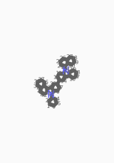 c1ccc(-n2c3ccc(-c4ccc5c(c4)c4ccccc4n5-c4cccc5ccccc45)cc3c3c4ccccc4ccc32)cc1